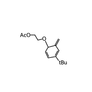 C=C1C=C(C(C)(C)C)C=CC1OCCOC(C)=O